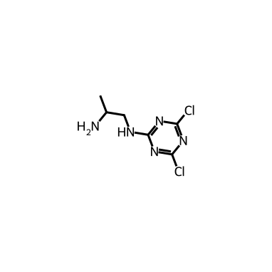 CC(N)CNc1nc(Cl)nc(Cl)n1